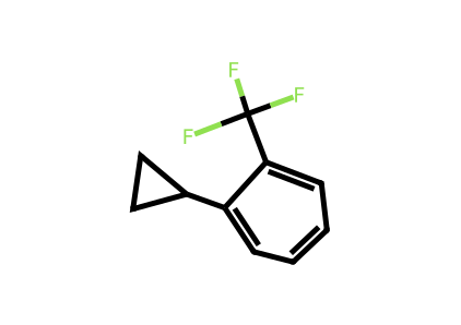 FC(F)(F)c1ccccc1C1CC1